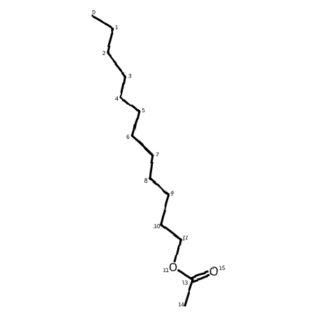 CCCCCCCCCCCCOC(C)=O